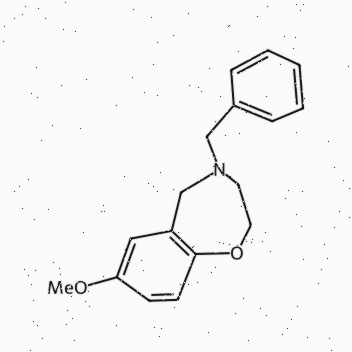 COc1ccc2c(c1)CN(Cc1ccccc1)CCO2